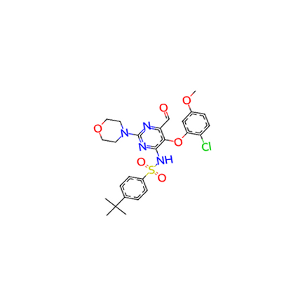 COc1ccc(Cl)c(Oc2c(C=O)nc(N3CCOCC3)nc2NS(=O)(=O)c2ccc(C(C)(C)C)cc2)c1